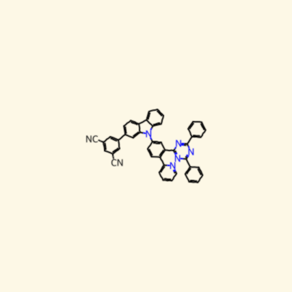 N#Cc1cc(C#N)cc(-c2ccc3c4ccccc4n(-c4ccc(-c5ccccn5)c(-c5nc(-c6ccccc6)nc(-c6ccccc6)n5)c4)c3c2)c1